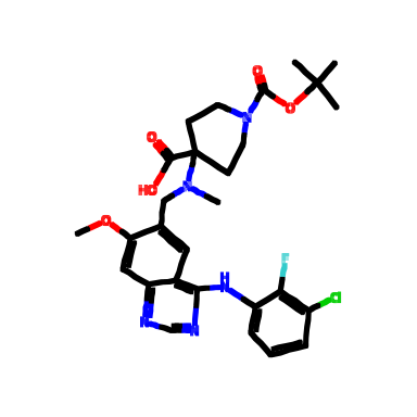 COc1cc2ncnc(Nc3cccc(Cl)c3F)c2cc1CN(C)C1(C(=O)O)CCN(C(=O)OC(C)(C)C)CC1